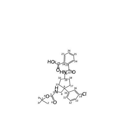 CC(C)(C)OC(=O)NCC1(c2cccc(Cl)c2)CCC(NC(=O)c2ccccc2C(=O)O)CC1